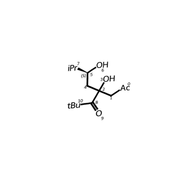 CC(=O)CC(O)(C[C@H](O)C(C)C)C(=O)C(C)(C)C